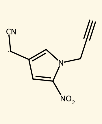 C#CCn1cc([CH]C#N)cc1[N+](=O)[O-]